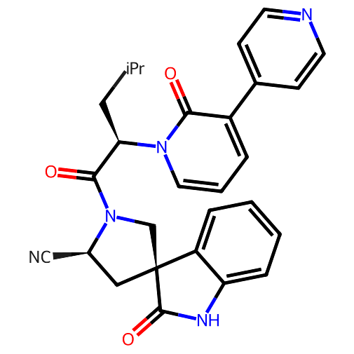 CC(C)C[C@H](C(=O)N1C[C@]2(C[C@H]1C#N)C(=O)Nc1ccccc12)n1cccc(-c2ccncc2)c1=O